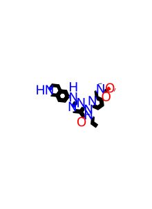 C=CCn1c(=O)c2cnc(Nc3ccc4c(c3)CCNC4)nc2n1-c1cccc(CN(C)C(=O)OC)n1